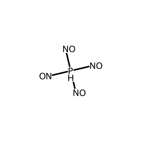 O=N[PH](N=O)(N=O)N=O